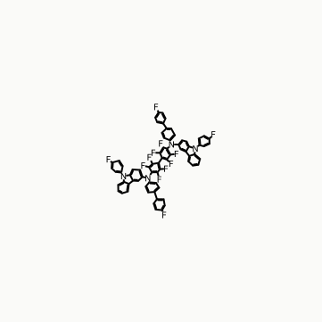 Fc1ccc(-c2ccc(N(c3ccc4c(c3)c3ccccc3n4-c3ccc(F)cc3)c3c(F)c(F)c(-c4c(F)c(F)c(N(c5ccc(-c6ccc(F)cc6)cc5)c5ccc6c(c5)c5ccccc5n6-c5ccc(F)cc5)c(F)c4F)c(F)c3F)cc2)cc1